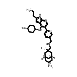 CCCc1cc2c(N[C@H]3CC[C@H](O)CC3)c(-c3ccc(CNCC4(C)C[C@@H]5C[C@@H](C)C[C@@H](C5)C4)cn3)cnc2[nH]1